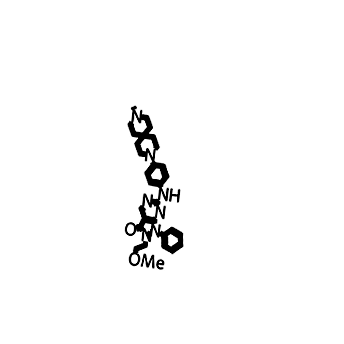 COCCn1c(=O)c2cnc(Nc3ccc(N4CCC5(CCN(C)CC5)CC4)cc3)nc2n1-c1ccccc1